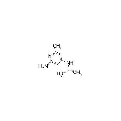 Cc1cc(NC(C)C)cc(N)n1